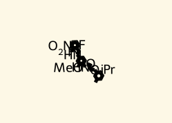 COc1cc(NCc2c(F)ccc([N+](=O)[O-])c2F)ccc1NC(=O)COC1CC(C)CCC1C(C)C